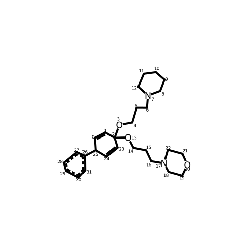 C1=CC(OCCCN2CCCCC2)(OCCCN2CCOCC2)C=CC1c1ccccc1